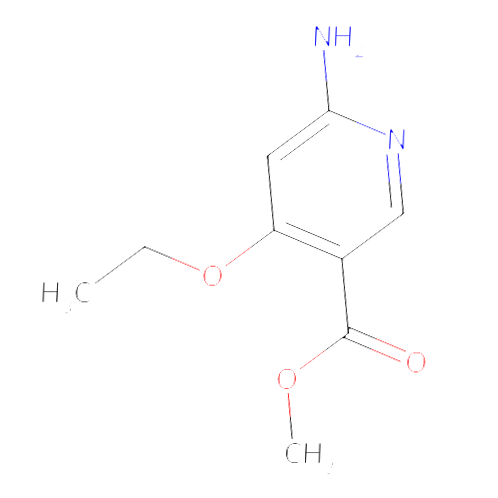 CCOc1cc(N)ncc1C(=O)OC